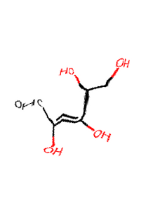 O=C/C(O)=C(/O)C(O)CO